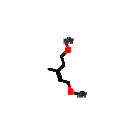 CCCOC/C=C(/C)CCOCCC